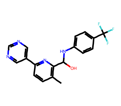 Cc1ccc(-c2cncnc2)nc1C(O)Nc1ccc(C(F)(F)F)cc1